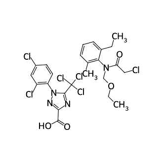 CCOCN(C(=O)CCl)c1c(C)cccc1CC.O=C(O)c1nc(C(Cl)(Cl)Cl)n(-c2ccc(Cl)cc2Cl)n1